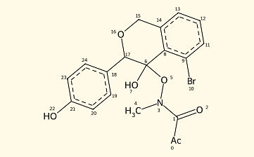 CC(=O)C(=O)N(C)OC1(O)c2c(Br)cccc2COC1c1ccc(O)cc1